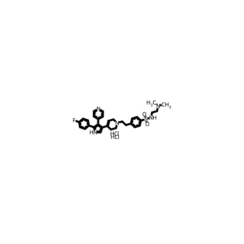 CN(C)CCNS(=O)(=O)c1ccc(CCN2CC=C(c3c[nH]c(-c4ccc(F)cc4)c3-c3ccncc3)CC2)cc1.Cl.Cl